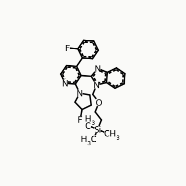 C[Si](C)(C)CCOCn1c(-c2c(-c3ccccc3F)ccnc2N2CCC(F)C2)nc2ccccc21